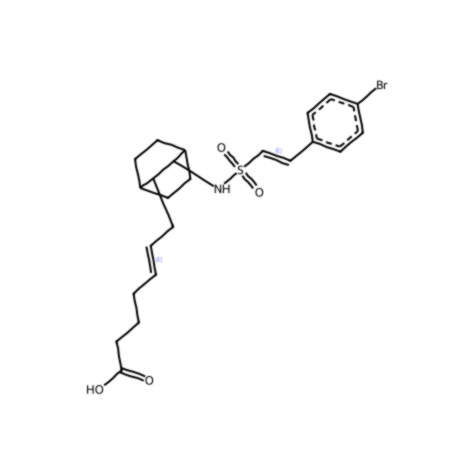 O=C(O)CCC/C=C/CC1C2CCC(CC2)C1NS(=O)(=O)/C=C/c1ccc(Br)cc1